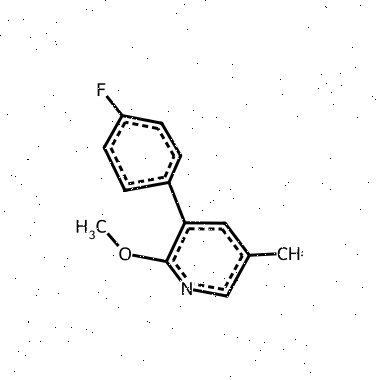 [CH]c1cnc(OC)c(-c2ccc(F)cc2)c1